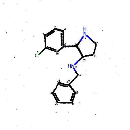 Clc1cccc(C2NCCC2NCc2ccccc2)c1